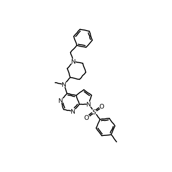 Cc1ccc(S(=O)(=O)n2ccc3c(N(C)C4CCCN(Cc5ccccc5)C4)ncnc32)cc1